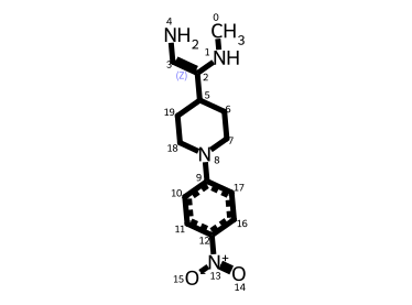 CN/C(=C\N)C1CCN(c2ccc([N+](=O)[O-])cc2)CC1